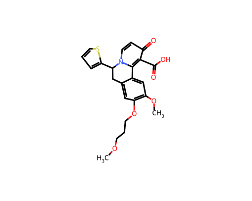 COCCCOc1cc2c(cc1OC)-c1c(C(=O)O)c(=O)ccn1C(c1cccs1)C2